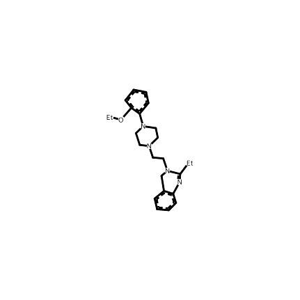 CCOc1ccccc1N1CCN(CCN2Cc3ccccc3N=C2CC)CC1